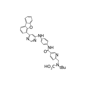 CC(C)(C)N(Cc1ccc(C(=O)Nc2ccc(Nc3cc(-c4cccc5c4oc4ccccc45)ncn3)cc2)cn1)C(=O)O